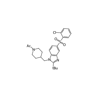 CC(=O)N1CCC(Cn2c(C(C)(C)C)nc3cc(S(=O)(=O)c4ccccc4Cl)ccc32)CC1